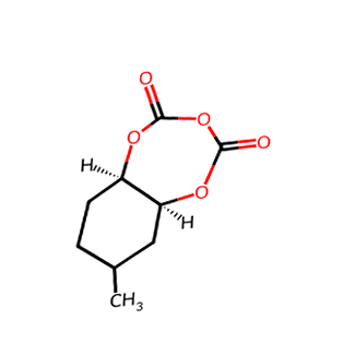 CC1CC[C@H]2OC(=O)OC(=O)O[C@H]2C1